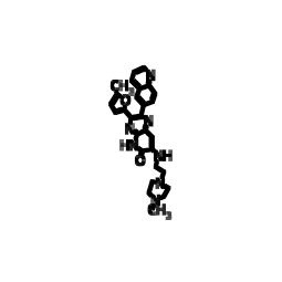 Cc1ccc(-c2nc3[nH]c(=O)c(NCCN4CCN(C)CC4)cc3nc2-c2ccc3ncccc3c2)o1